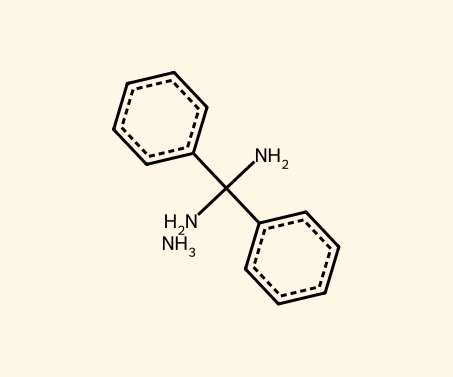 N.NC(N)(c1ccccc1)c1ccccc1